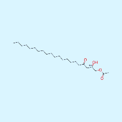 CCCCCCCCCCCCCCCCCC(=O)C[C@@H](O)COC(C)=O